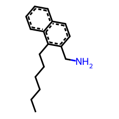 CCCCCCc1c(CN)ccc2ccccc12